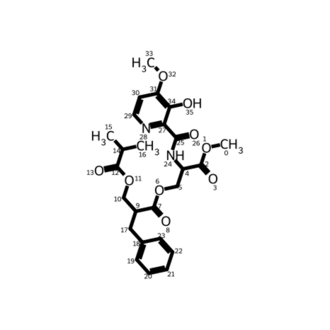 COC(=O)C(COC(=O)C(COC(=O)C(C)C)Cc1ccccc1)NC(=O)c1nccc(OC)c1O